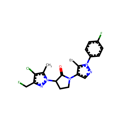 CCc1c(N2CCC(n3nc(CF)c(Cl)c3C)C2=O)cnn1-c1ccc(F)cc1